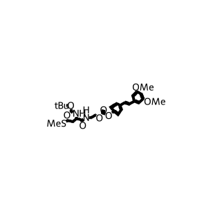 COc1cc(/C=C/c2ccc(OC(=O)OCCNC(=O)C(CCSC)NC(=O)OC(C)(C)C)cc2)cc(OC)c1